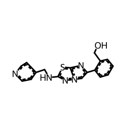 OCc1ccccc1-c1cn2nc(NCc3ccncc3)sc2n1